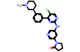 CN1CCCC(c2cccc(-c3nc(Nc4cncc(N5CCCC5=O)c4)ncc3Cl)c2)C1